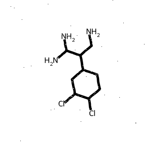 NCC(C(N)N)C1CCC(Cl)C(Cl)C1